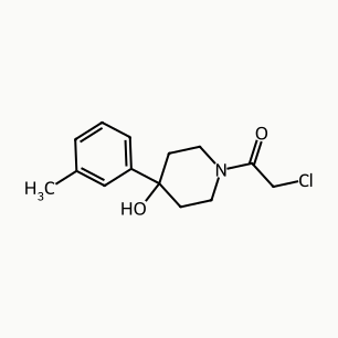 Cc1cccc(C2(O)CCN(C(=O)CCl)CC2)c1